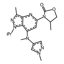 Cc1nn(C(C)C)c2c(N(C)c3cnn(C)c3)cc(N3C(=O)OCC3C)nc12